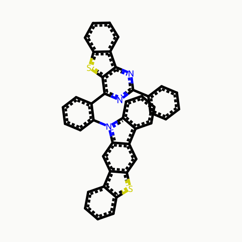 c1ccc(-c2nc(-c3ccccc3-n3c4ccccc4c4cc5sc6ccccc6c5cc43)c3sc4ccccc4c3n2)cc1